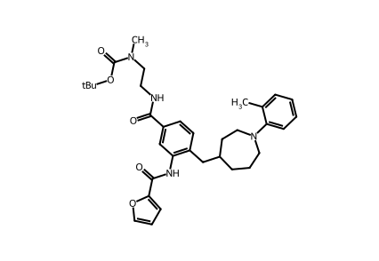 Cc1ccccc1N1CCCC(Cc2ccc(C(=O)NCCN(C)C(=O)OC(C)(C)C)cc2NC(=O)c2ccco2)CC1